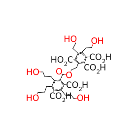 O=C(O)c1c(CCO)c(CCO)c(C(=O)O)c(C(=O)O)c1CCOC(=O)c1c(CCCO)c(CCCO)c(C(=O)O)c(CCCO)c1C(=O)O